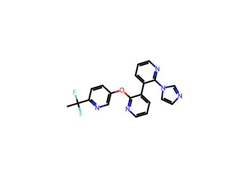 CC(F)(F)c1ccc(Oc2ncccc2-c2cccnc2-n2ccnc2)cn1